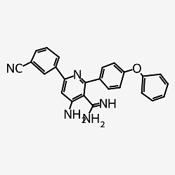 N#Cc1cccc(-c2cc(N)c(C(=N)N)c(-c3ccc(Oc4ccccc4)cc3)n2)c1